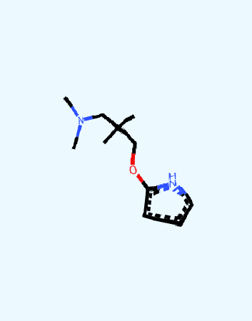 CN(C)CC(C)(C)COc1ccc[nH]1